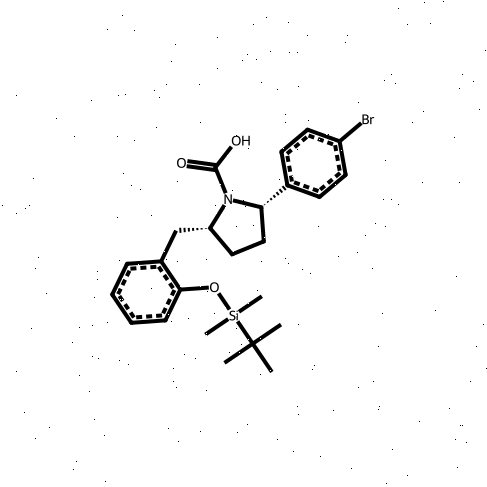 CC(C)(C)[Si](C)(C)Oc1ccccc1C[C@H]1CC[C@@H](c2ccc(Br)cc2)N1C(=O)O